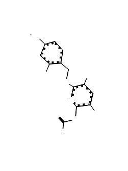 N#Cc1ccc(COc2nc(OC(N)=O)c(F)cc2F)c(F)c1